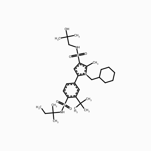 CCC(C)(C)NS(=O)(=O)c1ccc(-c2cc(S(=O)(=O)NCC(C)(C)O)c(C)n2CC2CCCCC2)cc1C(C)(C)C